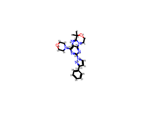 CC1(C)OCCn2c1nc1c(N3CCOCC3)nc(-n3ccc(-c4ccccc4)n3)nc12